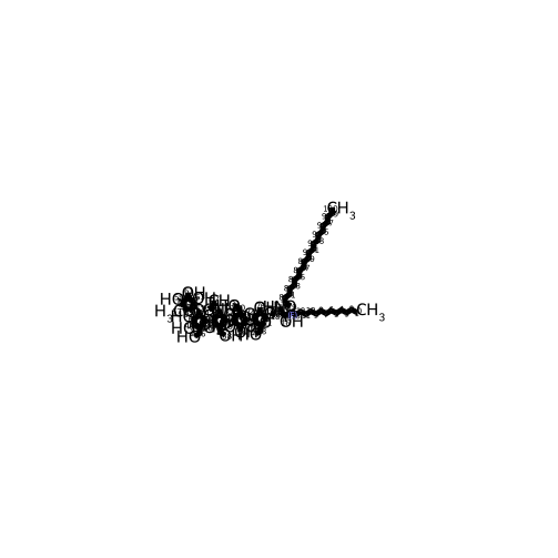 CCCCCCCCCCCCC/C=C/[C@@H](O)[C@H](CO[C@@H]1OC(CO)[C@@H](O[C@@H]2OC(CO)[C@H](O[C@@H]3OC(CO)[C@H](O)[C@H](O[C@@H]4OC(CO)[C@H](O)[C@H](O)C4O[C@H]4OC(C)[C@@H](O)C(O)[C@@H]4O)C3NC(C)=O)[C@H](O)C2O)[C@H](O)C1O)NC(=O)CCCCCCCCCCCCCCCCCCCCC